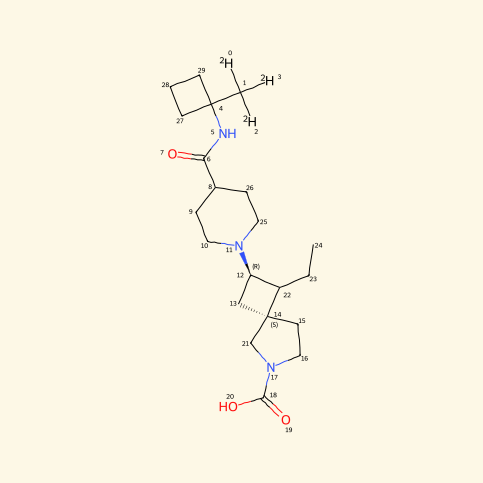 [2H]C([2H])([2H])C1(NC(=O)C2CCN([C@@H]3C[C@@]4(CCN(C(=O)O)C4)C3CC)CC2)CCC1